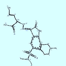 CN1CCc2c(S(=O)(=O)N(C)C)cc3c(c2C1)NC(=O)/C3=N\OC(CCO)C(=O)O